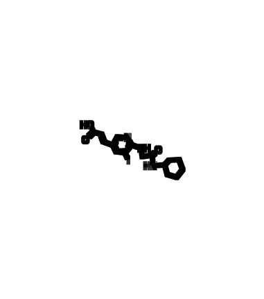 O=C(O)/C=C/c1cnc(NCC(=O)NC2CCCCC2)c(I)c1